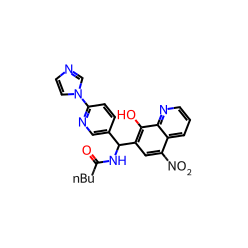 CCCCC(=O)NC(c1ccc(-n2ccnc2)nc1)c1cc([N+](=O)[O-])c2cccnc2c1O